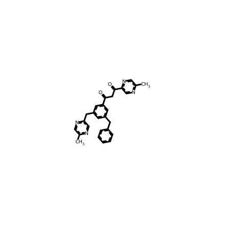 Cc1cnc(Cc2cc(Cc3ccccc3)cc(C(=O)CC(=O)c3cnc(C)cn3)c2)cn1